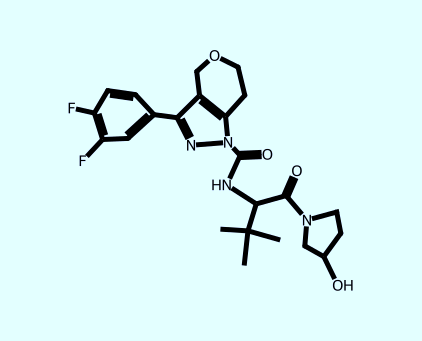 CC(C)(C)C(NC(=O)n1nc(-c2ccc(F)c(F)c2)c2c1CCOC2)C(=O)N1CCC(O)C1